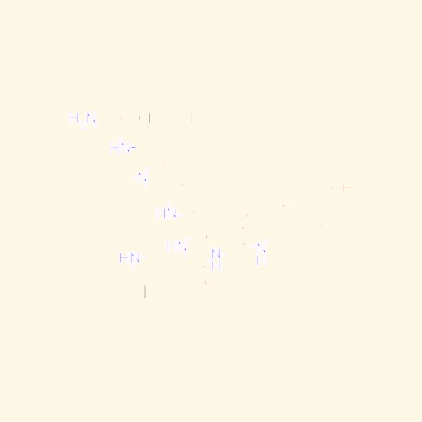 CC[C@H](C)[C@H](NC(=O)CN)C(=O)N1CCC[C@H]1C(=O)N[C@@H](C)C(=O)N[C@@H](Cc1c[nH]c2ccccc12)C(=O)NCC(=O)N[C@@H](Cc1ccc(O)cc1)C(=O)O